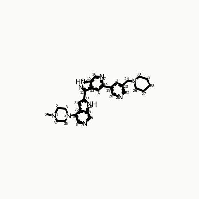 CN1CCN(c2cncc3[nH]c(-c4n[nH]c5cnc(-c6cncc(CN7CCCCC7)c6)cc45)cc23)CC1